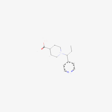 CCC(c1ccncc1)N1CCC(C(=O)O)CC1